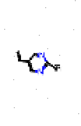 C=Cc1cnc(C(C)C)nc1